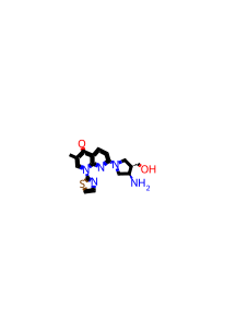 Cc1cn(-c2nccs2)c2nc(N3C[C@H](CO)[C@@H](N)C3)ccc2c1=O